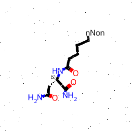 CCCCCCCCCCCCCC(=O)N[C@@H](CC(N)=O)C(N)=O